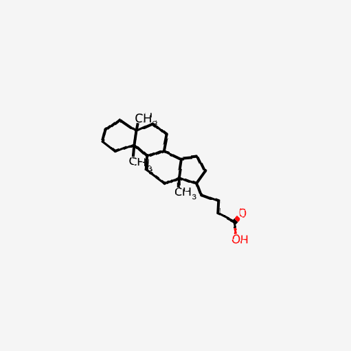 CC12CCC3C(CCC4(C)CCCCC34C)C1CCC2CCCC(=O)O